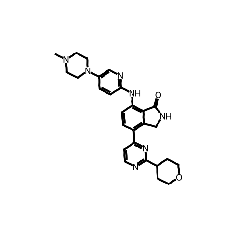 CN1CCN(c2ccc(Nc3ccc(-c4ccnc(C5CCOCC5)n4)c4c3C(=O)NC4)nc2)CC1